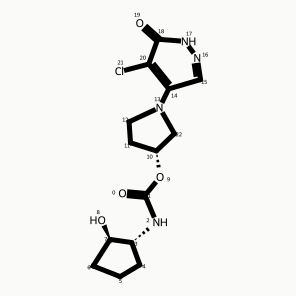 O=C(N[C@@H]1CCC[C@H]1O)O[C@@H]1CCN(c2cn[nH]c(=O)c2Cl)C1